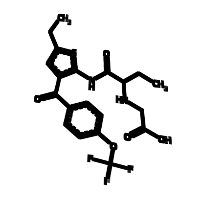 CCc1cc(C(=O)c2ccc(OC(F)(F)F)cc2)c(NC(=O)C(CC)NCC(=O)O)s1